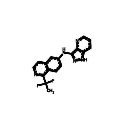 CC(F)(F)c1nccc2cc(Nc3n[nH]c4cccnc34)ccc12